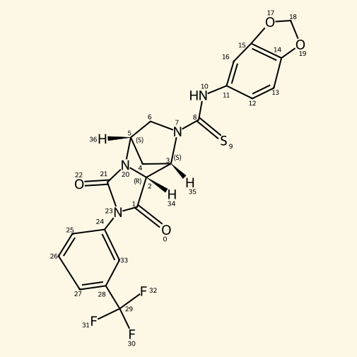 O=C1[C@H]2[C@@H]3C[C@@H](CN3C(=S)Nc3ccc4c(c3)OCO4)N2C(=O)N1c1cccc(C(F)(F)F)c1